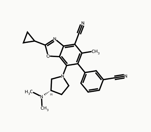 Cc1c(-c2cccc(C#N)c2)c(N2CC[C@H](N(C)C)C2)c2oc(C3CC3)nc2c1C#N